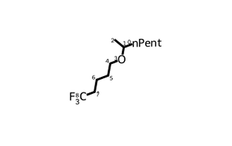 CCCCCC(C)OCCC[CH]C(F)(F)F